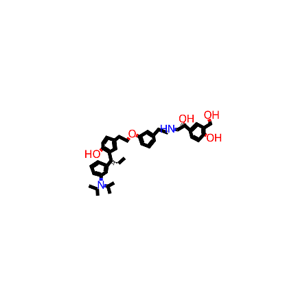 CC[C@H](c1cccc(N(C(C)C)C(C)C)c1)c1cc(CCOc2cccc(CCNC[C@H](O)c3ccc(O)c(CO)c3)c2)ccc1O